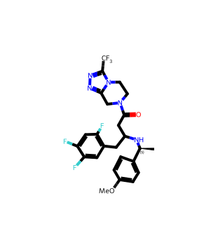 COc1ccc([C@H](C)NC(CC(=O)N2CCn3c(nnc3C(F)(F)F)C2)Cc2cc(F)c(F)cc2F)cc1